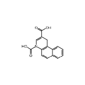 O=C(O)C1=CN(C(=O)O)c2ccc3ccccc3c2C1